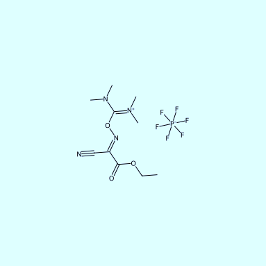 CCOC(=O)C(C#N)=NOC(N(C)C)=[N+](C)C.F[P-](F)(F)(F)(F)F